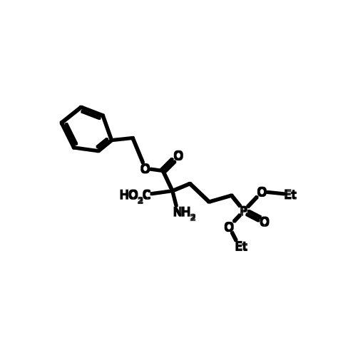 CCOP(=O)(CCCC(N)(C(=O)O)C(=O)OCc1ccccc1)OCC